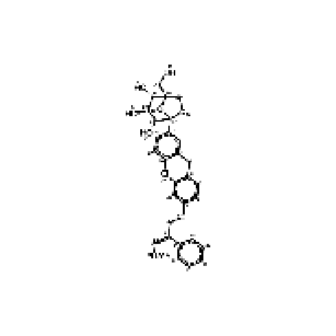 CO/N=C(/COc1ccc(Cc2cc([C@]34OC[C@](CO)(O3)[C@@H](O)[C@H](O)[C@H]4O)ccc2Cl)cc1)c1ccccc1